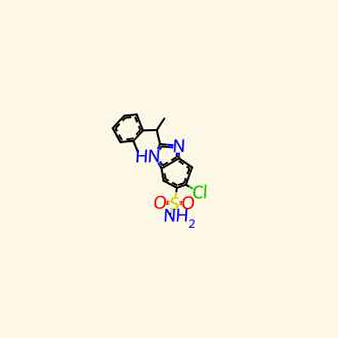 Cc1ccccc1C(C)c1nc2cc(Cl)c(S(N)(=O)=O)cc2[nH]1